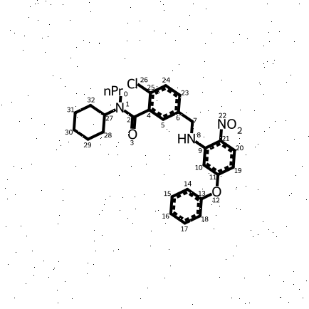 CCCN(C(=O)c1cc(CNc2cc(Oc3ccccc3)ccc2[N+](=O)[O-])ccc1Cl)C1CCCCC1